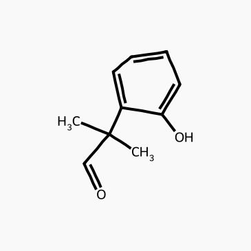 CC(C)(C=O)c1ccccc1O